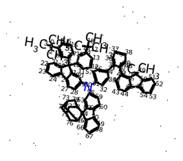 CC(C)(C)c1cccc(C2(c3cccc(C(C)(C)C)c3)c3ccccc3-c3ccc(N(c4ccc(-c5ccccc5-c5cccc6c5C(C)(C)c5ccccc5-6)cc4)c4ccc5c(c4)C4(c6ccccc6-5)C5CC6CC(C5)CC4C6)cc32)c1